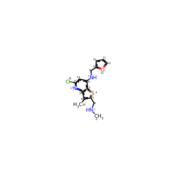 CNCc1sc2c(NCc3ccco3)cc(Cl)nc2c1C